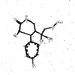 N#CC1C(=O)NCC(C(O)(COC=O)C(F)(F)F)C1c1ccc(C(F)(F)F)cc1